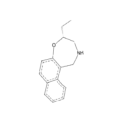 CC[C@@H]1CNCc2c(ccc3ccccc23)O1